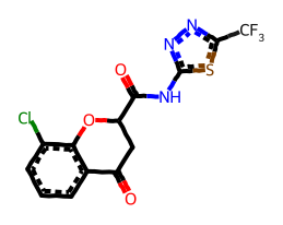 O=C1CC(C(=O)Nc2nnc(C(F)(F)F)s2)Oc2c(Cl)cccc21